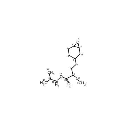 COC(CCC1CCC2OC2C1)C(=O)O[SiH2]C(C)C